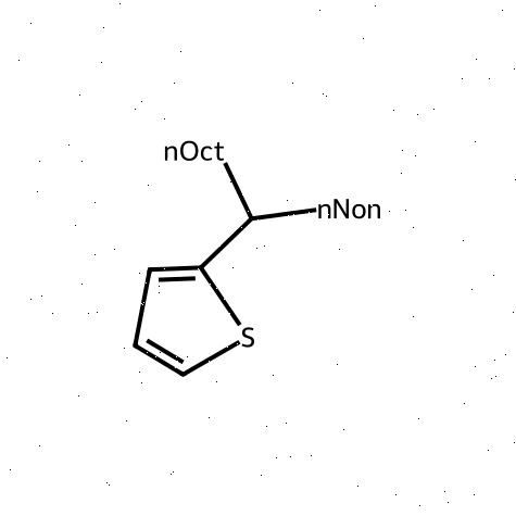 CCCCCCCCCC(CCCCCCCC)c1cccs1